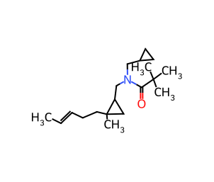 C/C=C/CCC1(C)CC1CN(CC1CC1)C(=O)C(C)(C)C